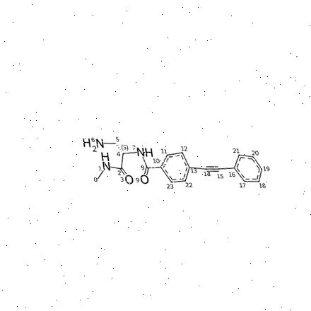 CNC(=O)[C@H](CN)NC(=O)c1ccc(C#Cc2ccccc2)cc1